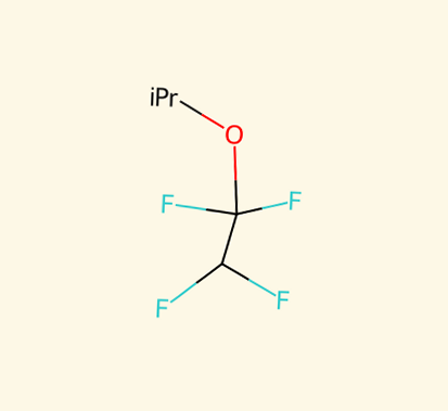 CC(C)OC(F)(F)C(F)F